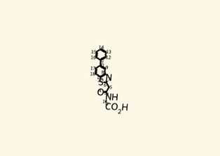 O=C(O)CNC(=O)Cc1nc2cc(-c3ccccc3)ccc2s1